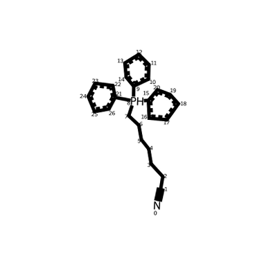 N#CCCCCCC[PH](c1ccccc1)(c1ccccc1)c1ccccc1